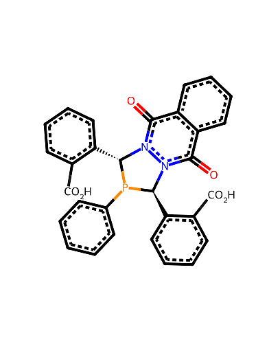 O=C(O)c1ccccc1[C@@H]1n2c(=O)c3ccccc3c(=O)n2[C@@H](c2ccccc2C(=O)O)P1c1ccccc1